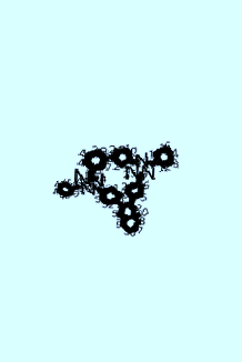 CC12C=C(c3ccc(-c4nc(-c5ccccc5)nc(-c5ccccc5)n4)cc3)C(c3ccc(-c4nc(-c5ccccc5)nc(-c5ccccc5)n4)cc3)=CC1=CC=CC2